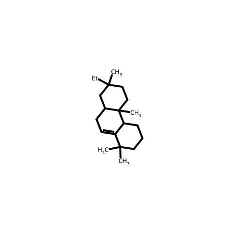 CCC1(C)CCC2(C)C(CC=C3C2CCCC3(C)C)C1